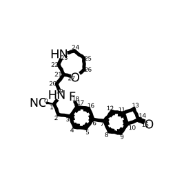 N#C[C@H](Cc1ccc(-c2ccc3c(c2)CC3=O)cc1F)NCC1CNCCCO1